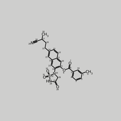 Cc1cccc(C(=O)Oc2cc3ccc(CCC(C)C#N)cc3cc2N2CC(=O)NS2(=O)=O)c1